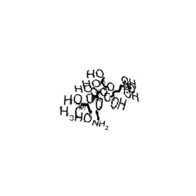 C[C@H](O)C(CCP(=O)(O)O)O[C@H](O[C@H](CO)[C@@H](OCCN)OC(CO)[C@H](C)O)[C@H](O)CO